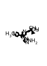 CN1CCC(c2cn(-c3ccnc(N)n3)c3cc(C#CC(C)(O)C4CC4)ncc23)CC1